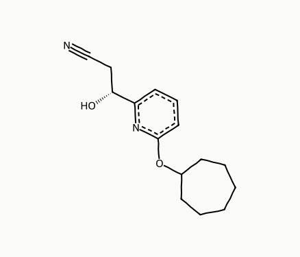 N#CC[C@@H](O)c1cccc(OC2CCCCCC2)n1